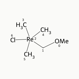 CO[CH2][Re]([CH3])([CH3])([CH3])[Cl]